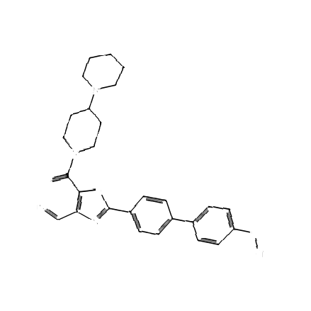 COc1ccc(-c2ccc(-c3nc(C=N)c(C(=O)N4CCC(N5CCCCC5)CC4)s3)cc2)cc1